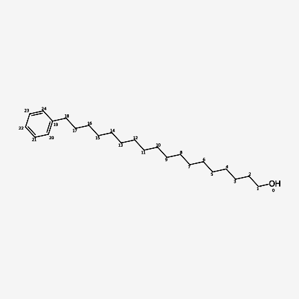 O[CH]CCCCCCCCCCCCCCCCCc1ccccc1